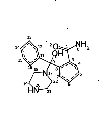 NC(=O)c1ccccc1C(O)(c1ccccc1)N1CCNCC1